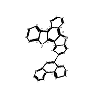 c1ccc2c(c1)cc(-c1ccc3[nH]c4c5ccccc5c5c6ccccc6sc5c4c3c1)c1ccccc12